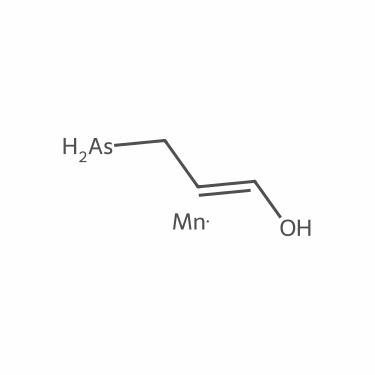 OC=CC[AsH2].[Mn]